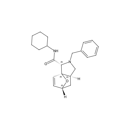 O=C(NC1CCCCC1)[C@@H]1N(Cc2ccccc2)C[C@H]2C[C@@H]3C=C[C@@]21O3